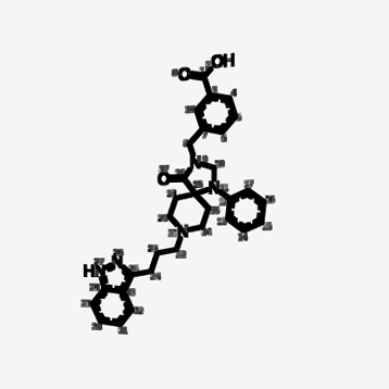 O=C(O)c1cccc(CN2CN(c3ccccc3)C3(CCN(CCCc4n[nH]c5ccccc45)CC3)C2=O)c1